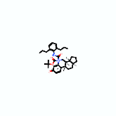 CCCc1cccc(CCC)c1NC(=O)[N+]1(C(=O)OC(C)(C)C)C[C@H]2[C@@H]3CCC[C@@]3(C)CC[C@@H]2[C@@]2(C)C=CC(=O)C=C21